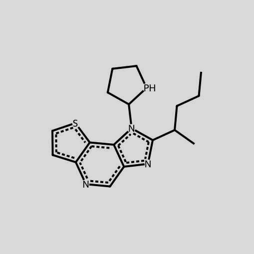 CCCC(C)c1nc2cnc3ccsc3c2n1C1CCCP1